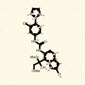 COCC(C)(OC)c1c(NC(=O)Nc2cnc(-n3nccn3)c(Cl)c2)cnc2cc(Cl)nn12